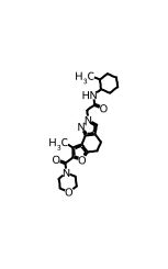 Cc1c(C(=O)N2CCOCC2)oc2c1-c1nn(CC(=O)NC3CCCCC3C)cc1CC2